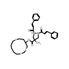 CC(CNC(=O)/C=C/c1ccccc1)(CNC(=O)/C=C/c1ccccc1)C(=O)OC1CCCCCCCCCCCC1